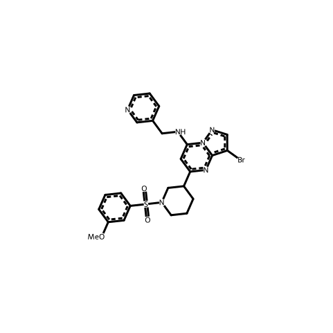 COc1cccc(S(=O)(=O)N2CCCC(c3cc(NCc4cccnc4)n4ncc(Br)c4n3)C2)c1